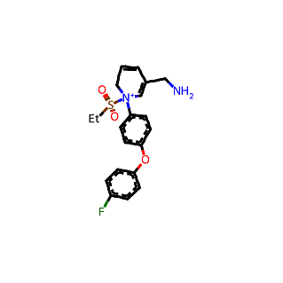 CCS(=O)(=O)[N+]1(c2ccc(Oc3ccc(F)cc3)cc2)C=C(CN)C=CC1